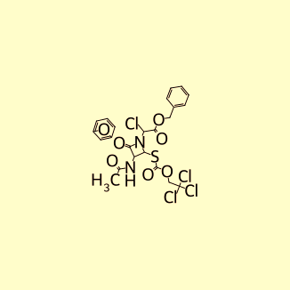 CC(=O)NC1C(=O)N(C(Cl)C(=O)OCc2ccccc2)C1SC(=O)OCC(Cl)(Cl)Cl.c1cc2cc(c1)O2